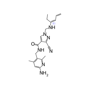 C=C/C=C(\CC)NCn1cc(C(=O)NCc2c(C)cc(N)nc2C)c(C#N)n1